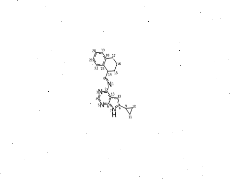 C(=N\c1ncnc2[nH]c(C3CC3)cc12)/C1CCCc2ccccc21